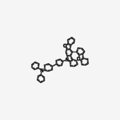 c1ccc(N(c2ccccc2)c2ccc(-c3ccc(-n4c5ccccc5c5c(-c6cccc7c6oc6ccccc67)c6c(cc54)oc4ccccc46)cc3)cc2)cc1